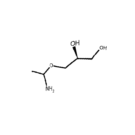 CC(N)OC[C@@H](O)CO